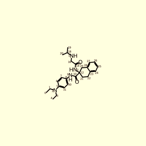 CCN(CC)c1ccc(NC(=O)C2(NC(=O)CNC(C)C)CCc3ccccc3C2)cc1